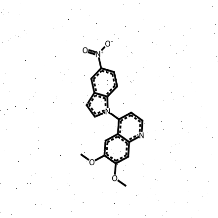 COc1cc2nccc(-n3ccc4cc([N+](=O)[O-])ccc43)c2cc1OC